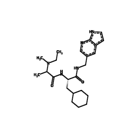 CCN(C)C(C)C(=O)N[C@@H](CC1CCCCC1)C(=O)NCc1cnc2[nH]ccc2c1